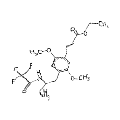 CCOC(=O)CCc1cc(OC)c(CC(C)NC(=O)C(F)(F)F)cc1OC